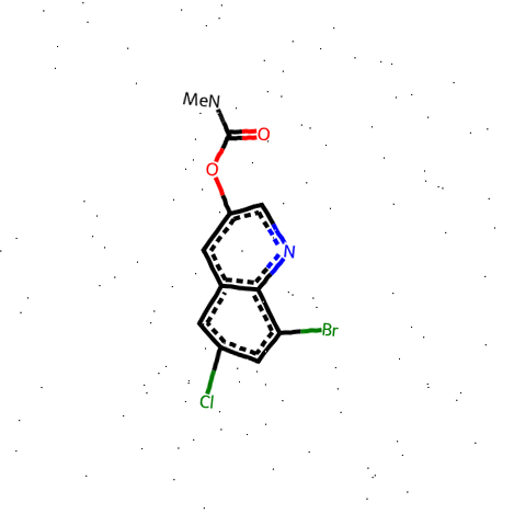 CNC(=O)Oc1cnc2c(Br)cc(Cl)cc2c1